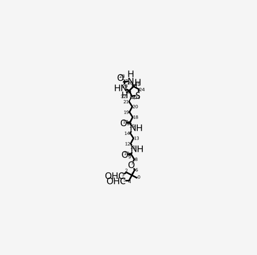 CC(CC=O)(CC=O)COCC(=O)NCCCNC(=O)CCCC[C@@H]1SC[C@@H]2NC(=O)N[C@@H]21